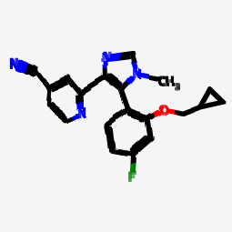 Cn1cnc(-c2cc(C#N)ccn2)c1-c1ccc(F)cc1OCC1CC1